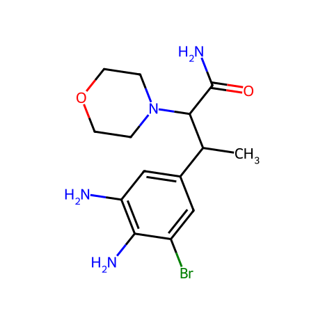 CC(c1cc(N)c(N)c(Br)c1)C(C(N)=O)N1CCOCC1